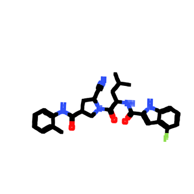 Cc1ccccc1NC(=O)C1CC(C#N)N(C(=O)C(CC(C)C)NC(=O)c2cc3c(F)cccc3[nH]2)C1